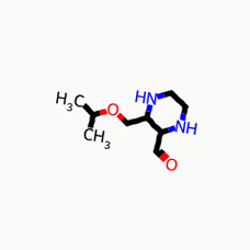 CC(C)OCC1NCCNC1C=O